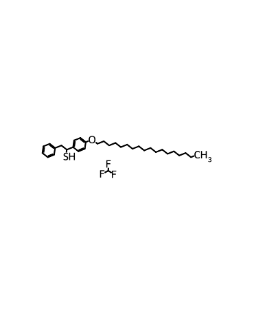 CCCCCCCCCCCCCCCCCCOc1ccc(C(S)Cc2ccccc2)cc1.FC(F)F